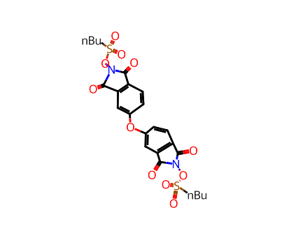 CCCCS(=O)(=O)ON1C(=O)c2ccc(Oc3ccc4c(c3)C(=O)N(OS(=O)(=O)CCCC)C4=O)cc2C1=O